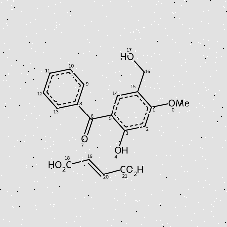 COc1cc(O)c(C(=O)c2ccccc2)cc1CO.O=C(O)C=CC(=O)O